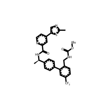 Cc1ncc(-c2ccnc(C(=O)N[C@H](C)c3ccc(-c4cc(C(F)(F)F)ccc4CNC(=O)OC(C)(C)C)cc3)c2)s1